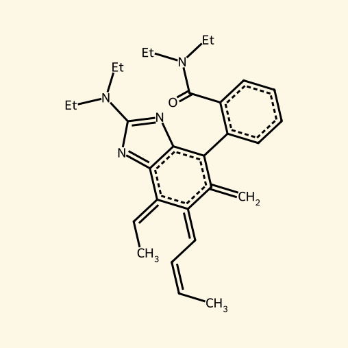 C=c1c(-c2ccccc2C(=O)N(CC)CC)c2c(c(=C/C)/c1=C\C=C/C)=NC(N(CC)CC)=N2